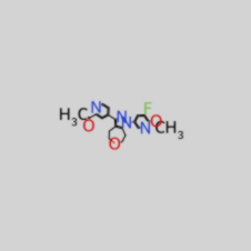 COc1ncc(-n2nc(-c3ccnc(C(C)=O)c3)c3c2CCOCC3)cc1F